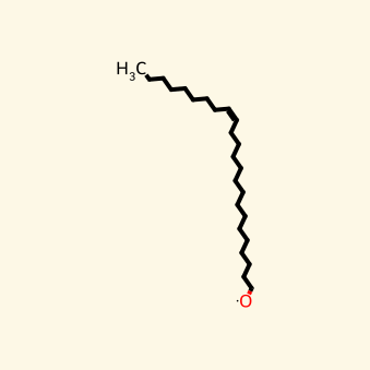 CCCCCCCC/C=C\CCCCCCCCCCCCCC[O]